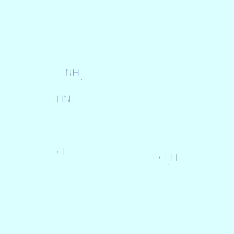 NNc1ccc(C(=O)O)cc1Cl